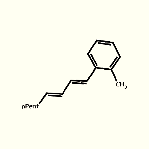 CCCCC/C=C/C=C/c1ccccc1C